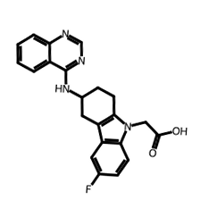 O=C(O)Cn1c2c(c3cc(F)ccc31)CC(Nc1ncnc3ccccc13)CC2